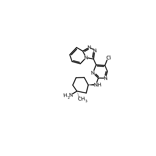 C[C@]1(N)CCC[C@@H](Nc2ncc(Cl)c(-c3nnc4ccccn34)n2)C1